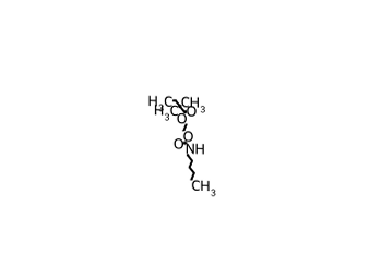 CCCCCCNC(=O)OCCOC(=O)C(C)(C)CC